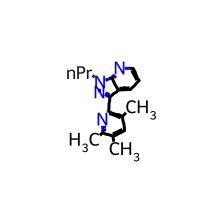 CCCn1nc(-c2nc(C)c(C)cc2C)c2cccnc21